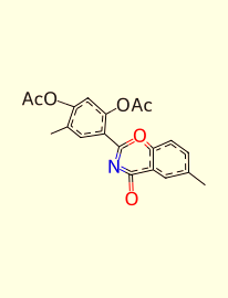 CC(=O)Oc1cc(OC(C)=O)c(-c2nc(=O)c3cc(C)ccc3o2)cc1C